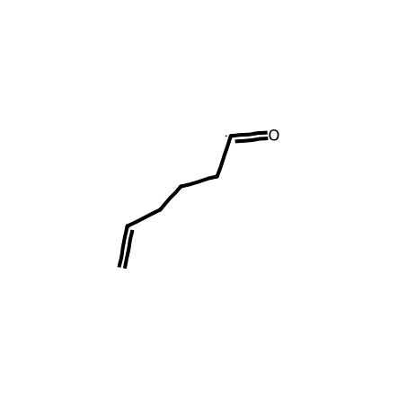 C=CCCC[C]=O